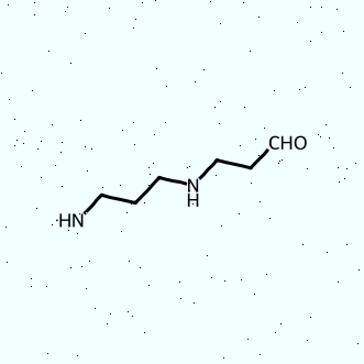 [NH]CCCNCCC=O